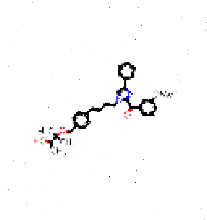 C=C(O)C(C)(C)OCc1ccc(/C=C/CCn2cc(-c3ccccc3)nc2C(=O)c2cccc(OC)c2)cc1